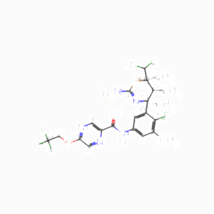 Cc1cc(NC(=O)c2cnc(OCC(F)(F)F)cn2)cc([C@@]2(C)N=C(N)S[C@](C)(C(F)F)[C@H]2C)c1F